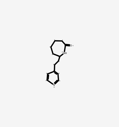 O=C1CCCCC(CCc2ccncc2)N1